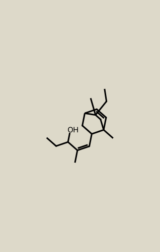 CCC(O)C(C)=CC1CC2C=CC1(C)CC2(C)CC